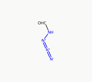 [N-]=[N+]=[N+]NC=O